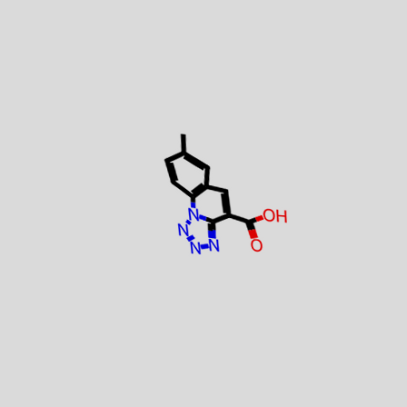 Cc1ccc2c(c1)cc(C(=O)O)c1nnnn12